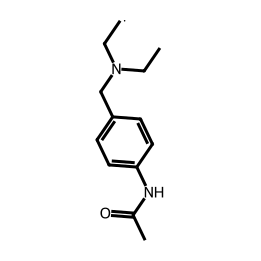 [CH2]CN(CC)Cc1ccc(NC(C)=O)cc1